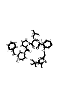 Cc1nc(COc2ccccc2C(=O)N[C@H](CC(C)C)C(=O)N2CCC[C@@H]2C(=O)N2CCN(C)[C@@H](Cc3ccccc3)C2)oc1C(C)(C)C